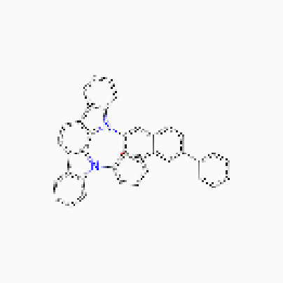 c1ccc(-c2ccc3cc(-n4c5ccccc5c5ccc6c7ccccc7n(-c7ccccc7)c6c54)ccc3c2)cc1